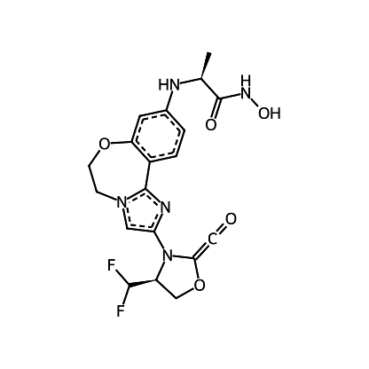 C[C@H](Nc1ccc2c(c1)OCCn1cc(N3C(=C=O)OC[C@H]3C(F)F)nc1-2)C(=O)NO